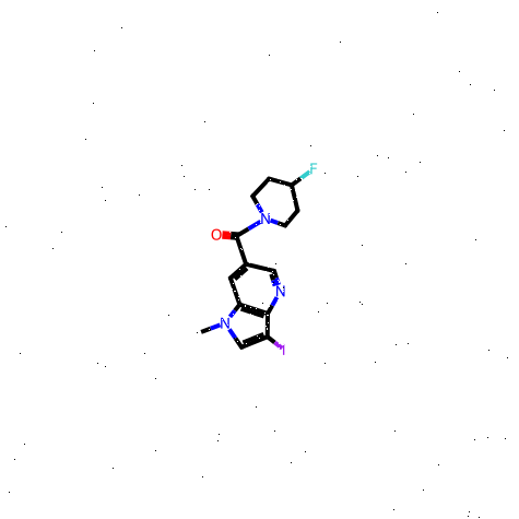 Cn1cc(I)c2ncc(C(=O)N3CCC(F)CC3)cc21